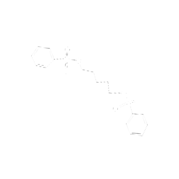 O=S(=O)(OCCCCCOS(=O)(=O)c1ccccc1)c1ccccc1